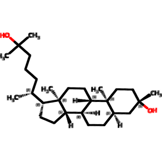 C[C@H](CCCC(C)(C)O)[C@H]1CC[C@H]2[C@@H]3CC[C@@H]4C[C@@](C)(O)CC[C@]4(C)[C@H]3CC[C@]12C